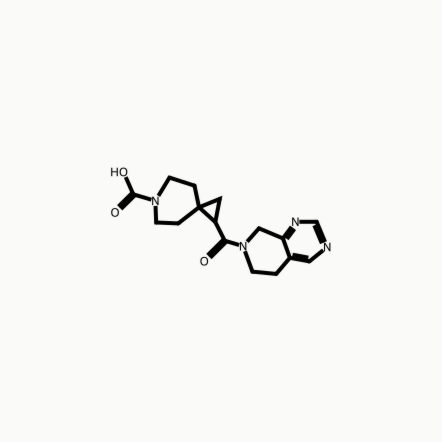 O=C(O)N1CCC2(CC1)CC2C(=O)N1CCc2cncnc2C1